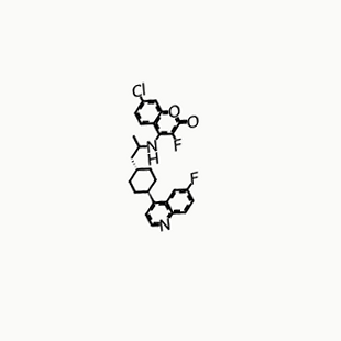 CC(C[C@H]1CC[C@H](c2ccnc3ccc(F)cc32)CC1)Nc1c(F)c(=O)oc2cc(Cl)ccc12